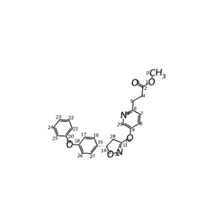 COC(=O)CCc1ccc(OC2=NO[C@H](c3ccc(Oc4ccccc4)cc3)C2)cn1